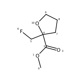 COC(=O)C1(CF)CCCO1